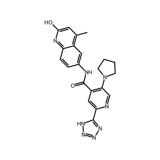 Cc1cc(O)nc2ccc(NC(=O)c3cc(-c4nnn[nH]4)ncc3N3CCCC3)cc12